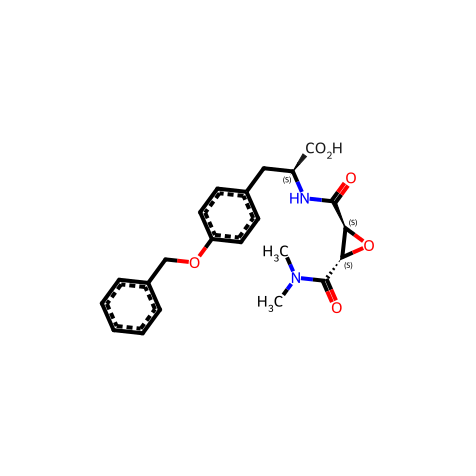 CN(C)C(=O)[C@H]1O[C@@H]1C(=O)N[C@@H](Cc1ccc(OCc2ccccc2)cc1)C(=O)O